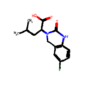 CC(C)CC(C(=O)O)N1Cc2cc(F)ccc2NC1=O